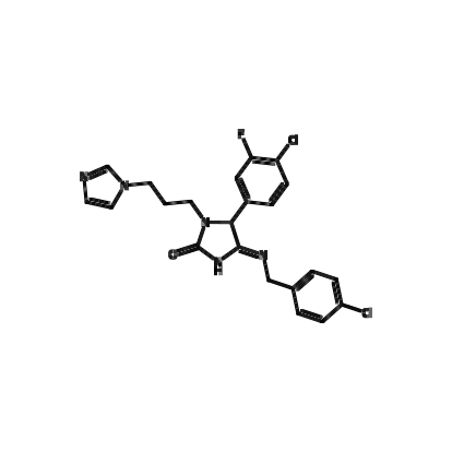 O=C1NC(=NCc2ccc(Cl)cc2)C(c2ccc(Cl)c(F)c2)N1CCCn1ccnc1